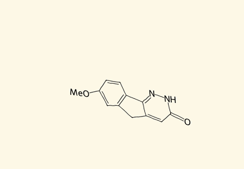 COc1ccc2c(c1)Cc1cc(=O)[nH]nc1-2